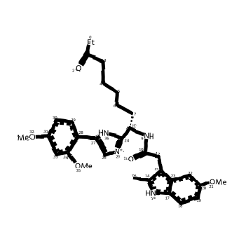 CCC(=O)CCCCC[C@H](NC(=O)Cc1c(C)[nH]c2ccc(OC)cc12)C1=[N+]C=C(c2ccc(OC)cc2OC)N1